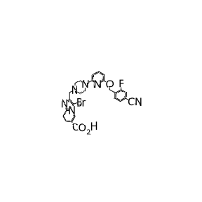 N#Cc1ccc(COc2cccc(N3CCN(Cc4nc5ccc(C(=O)O)cn5c4Br)CC3)n2)c(F)c1